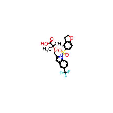 CC(C)(OCc1cc2cc(C(F)(F)F)ccc2n1S(=O)(=O)c1ccc2c(c1)CCO2)C(=O)O